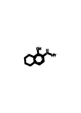 CCCNc1ccc2c(c1O)CCCC2